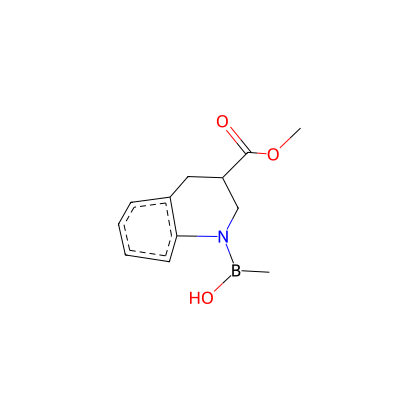 COC(=O)C1Cc2ccccc2N(B(C)O)C1